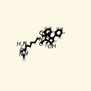 CCC1(Br)C(=O)N(CCCC[C@H](N)c2nc(C)no2)C(=O)C1C1(C)C(c2ccccc2)=C(c2ccccc2)CC1O